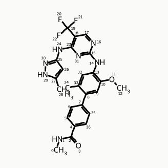 CNC(=O)c1ccc(-c2cc(OC)c(Nc3ncc(C(F)(F)F)c(Nc4cc(C)[nH]n4)n3)cc2C)cc1